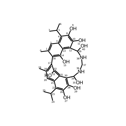 Cc1cc2c(C(C)C)c(O)c(O)c3c2c(O)c1-c1c(C)cc2c(C(C)C)c(O)c(O)c(c2c1O)C(O)NCNC3O